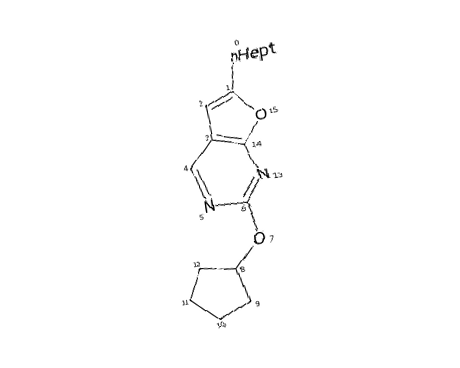 CCCCCCCc1cc2cnc(OC3CCCC3)nc2o1